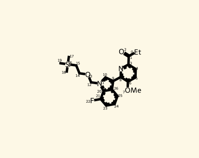 CCC(=O)c1ccc(OC)c(-c2cn(COCC[Si](C)(C)C)c3c(F)cccc23)n1